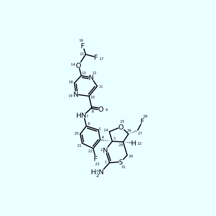 NC1=N[C@@]2(c3cc(NC(=O)c4cnc(OC(F)F)cn4)ccc3F)CO[C@H](CF)[C@H]2CS1